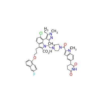 Cc1nn(C)c(C)c1-c1c(Cl)ccc2c(CCCOc3cccc4cc(F)ccc34)c(C(=O)O)n(CCN3CCN(C(=O)c4cc5cc(C6CCC(=O)NC6=O)ccc5n4C)CC3)c12